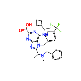 CC(Nc1nc(C(=O)O)nc2nc(C(C)N(C)Cc3ccccc3)n(Cc3ccc(C(F)(F)F)cc3)c12)C1CCC1